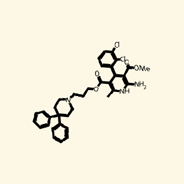 COC(=O)C1=C(N)NC(C)=C(C(=O)OCCCN2CCC(c3ccccc3)(c3ccccc3)CC2)C1c1cccc(Cl)c1Cl